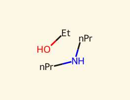 CCCNCCC.CCO